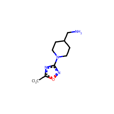 NCC1CCN(c2noc(C(Cl)(Cl)Cl)n2)CC1